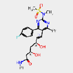 CC(C)NC(=O)C[C@H](O)C[C@H](O)/C=C/c1c(-c2ccc(F)cc2)nc(N(C)S(C)(=O)=O)nc1C(C)C